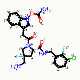 NC[C@@]1(F)C[C@@H](C(=O)NCc2cccc(Cl)c2F)N(C(=O)Cc2cn(OC(N)=O)c3ccccc23)C1